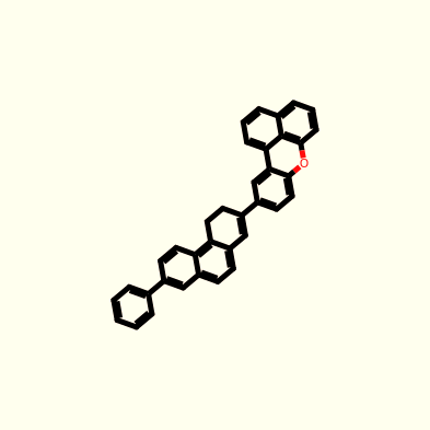 C1=C(c2ccc3c(c2)-c2cccc4cccc(c24)O3)CCc2c1ccc1cc(-c3ccccc3)ccc21